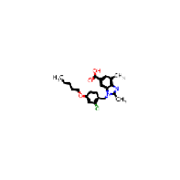 CCCCCOc1ccc(Cn2c(C)nc3c(C)cc(C(=O)O)cc32)c(Cl)c1